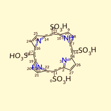 O=S(=O)(O)c1c2nc(c(S(=O)(=O)O)c3ccc([nH]3)c(S(=O)(=O)O)c3nc(c(S(=O)(=O)O)c4ccc1[nH]4)C=C3)C=C2